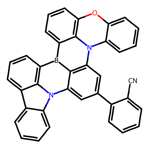 N#Cc1ccccc1-c1cc2c3c(c1)-n1c4ccccc4c4cccc(c41)B3c1cccc3c1N2c1ccccc1O3